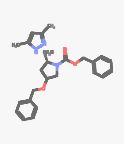 Cc1cc(C)[nH]n1.O=C(O)[C@@H]1CC(OCc2ccccc2)CN1C(=O)OCc1ccccc1